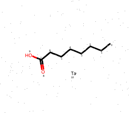 CCCCCCCC(=O)O.[Ta]